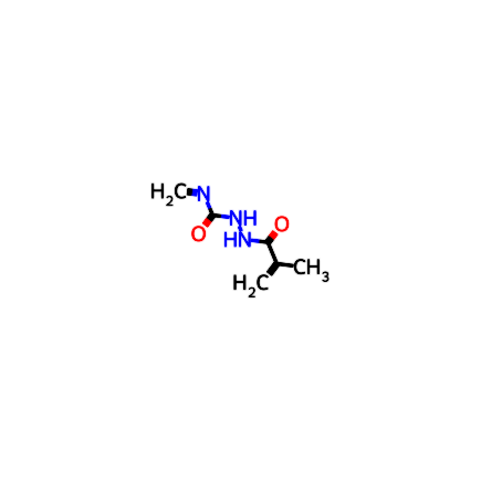 C=NC(=O)NNC(=O)C(=C)C